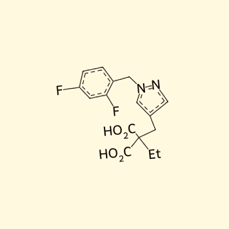 CCC(Cc1cnn(Cc2ccc(F)cc2F)c1)(C(=O)O)C(=O)O